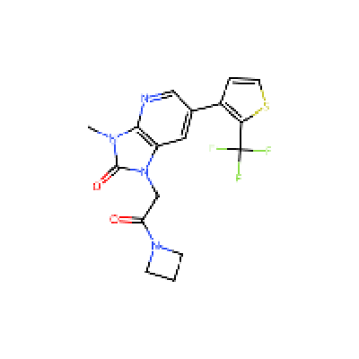 Cn1c(=O)n(CC(=O)N2CCC2)c2cc(-c3ccsc3C(F)(F)F)cnc21